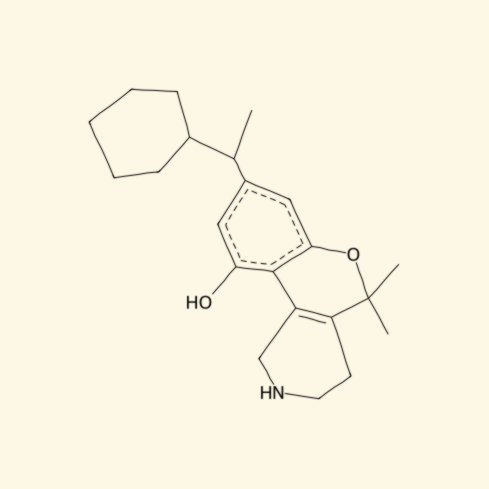 CC(c1cc(O)c2c(c1)OC(C)(C)C1=C2CNCC1)C1CCCCC1